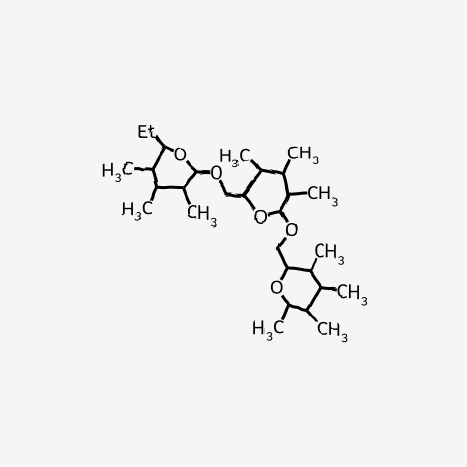 CCC1OC(OCC2OC(OCC3OC(C)C(C)C(C)C3C)C(C)C(C)C2C)C(C)C(C)C1C